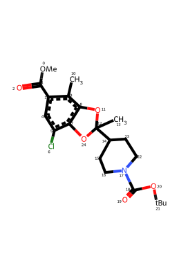 COC(=O)c1cc(Cl)c2c(c1C)OC(C)(C1CCN(C(=O)OC(C)(C)C)CC1)O2